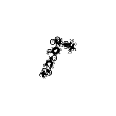 CC(C)(C)OC(=O)N1CCC(COc2ccc(N3C(=O)OC[C@H]3CO[Si](C)(C)C(C)(C)C)cc2F)CC1